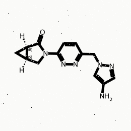 Nc1cnn(Cc2ccc(N3C[C@H]4C[C@H]4C3=O)nn2)c1